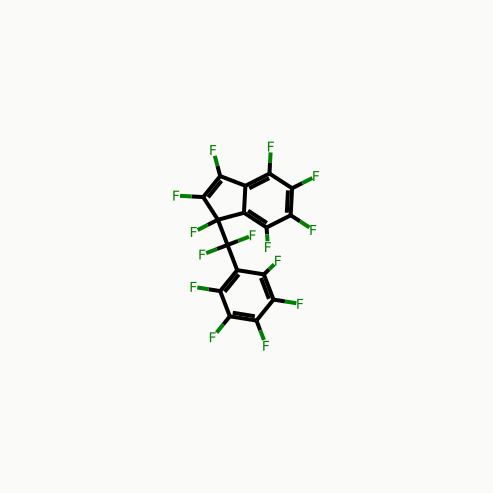 FC1=C(F)C(F)(C(F)(F)c2c(F)c(F)c(F)c(F)c2F)c2c(F)c(F)c(F)c(F)c21